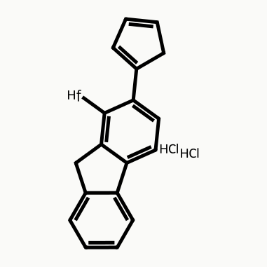 Cl.Cl.[Hf][c]1c(C2=CC=CC2)ccc2c1Cc1ccccc1-2